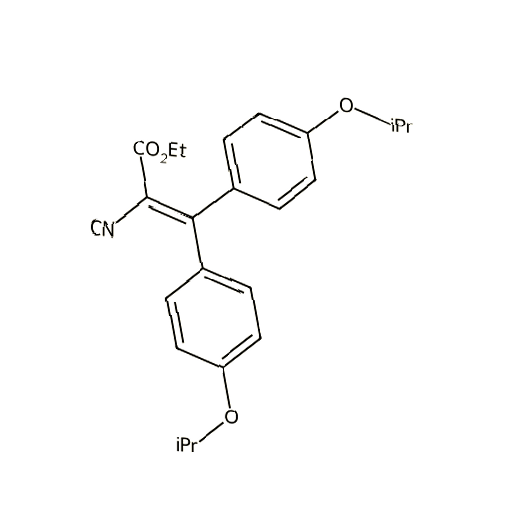 [C-]#[N+]C(C(=O)OCC)=C(c1ccc(OC(C)C)cc1)c1ccc(OC(C)C)cc1